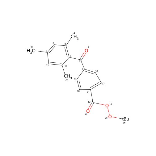 Cc1cc(C)c(C(=O)c2ccc(C(=O)OOC(C)(C)C)cc2)c(C)c1